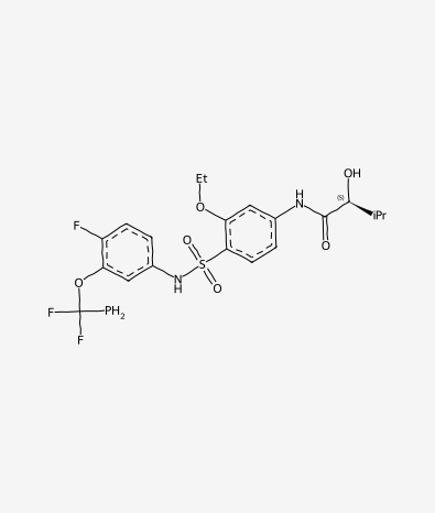 CCOc1cc(NC(=O)[C@@H](O)C(C)C)ccc1S(=O)(=O)Nc1ccc(F)c(OC(F)(F)P)c1